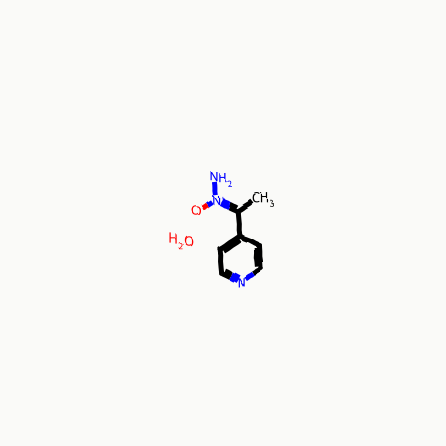 CC(c1ccncc1)=[N+](N)[O-].O